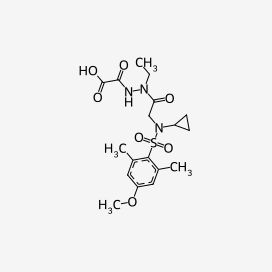 CCN(NC(=O)C(=O)O)C(=O)CN(C1CC1)S(=O)(=O)c1c(C)cc(OC)cc1C